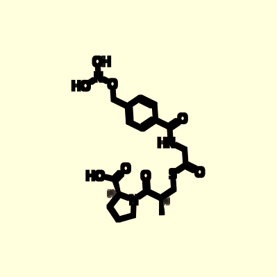 C[C@H](CSC(=O)CNC(=O)c1ccc(CON(O)O)cc1)C(=O)N1CCC[C@H]1C(=O)O